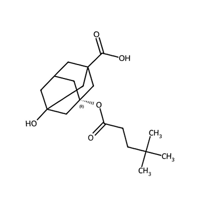 CC(C)(C)CCC(=O)O[C@]12CC3CC(O)(CC(C(=O)O)(C3)C1)C2